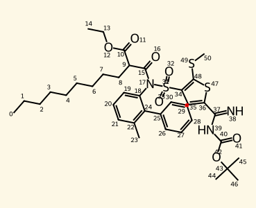 CCCCCCCCCC(C(=O)OCC)C(=O)N(c1cccc(C)c1-c1ccccc1)S(=O)(=O)c1cc(C(=N)NC(=O)OC(C)(C)C)sc1SC